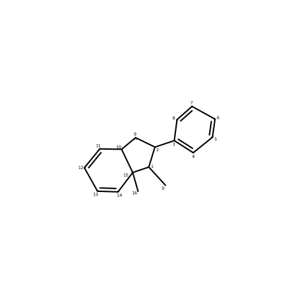 CC1C(c2ccccc2)[C]C2C=CC=CC21C